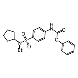 CCN(C1CCCC1)S(=O)(=O)c1ccc(NC(=O)Oc2ccccc2)cc1